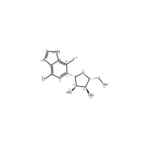 OC[C@H]1O[C@@H](c2nc(Cl)c3nc[nH]c3c2F)[C@H](O)[C@@H]1O